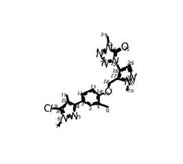 Cc1cc(-c2nn(C)c(Cl)c2C)ccc1OCc1c(-n2nnn(C)c2=O)cnn1C